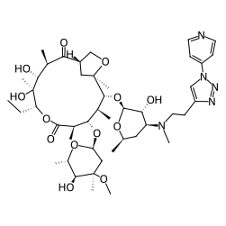 CC[C@H]1OC(=O)[C@H](C)[C@@H](O[C@H]2C[C@@](C)(OC)[C@@H](O)[C@H](C)O2)[C@H](C)[C@@H](O[C@@H]2O[C@H](C)C[C@H](N(C)CCc3cn(-c4ccncc4)nn3)[C@H]2O)[C@@]2(C)C[C@@H](CO2)C(=O)[C@H](C)[C@@H](O)[C@]1(C)O